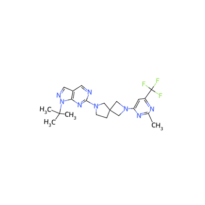 Cc1nc(N2CC3(CCN(c4ncc5cnn(C(C)(C)C)c5n4)C3)C2)cc(C(F)(F)F)n1